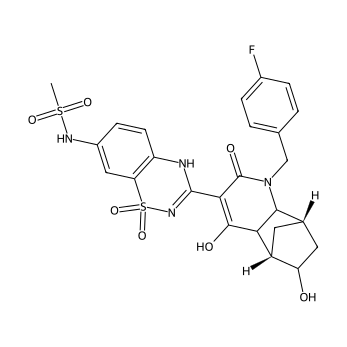 CS(=O)(=O)Nc1ccc2c(c1)S(=O)(=O)N=C(C1=C(O)C3C([C@@H]4CC(O)[C@H]3C4)N(Cc3ccc(F)cc3)C1=O)N2